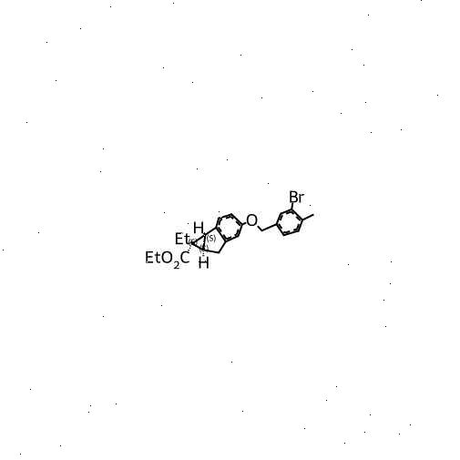 CCOC(=O)[C@@]1(CC)[C@@H]2Cc3cc(OCc4ccc(C)c(Br)c4)ccc3[C@H]21